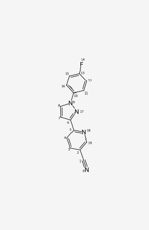 N#Cc1ccc(-c2ccn(-c3ccc(F)cc3)n2)nc1